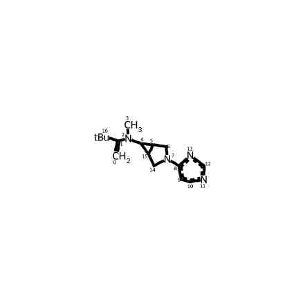 C=C(N(C)C1C2CN(c3ccncn3)CC21)C(C)(C)C